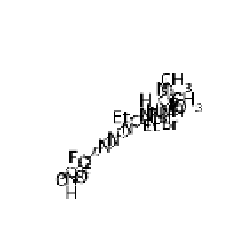 CCc1cc(N2CCC(N3CCN(C4CC(c5cc(F)c(C6CCC(=O)NC6=O)c(F)c5)C4)CC3)CC2)c(CC)cc1Nc1ncc(Br)c(Nc2ccc3nc(C)ccc3c2P(C)(C)=O)n1